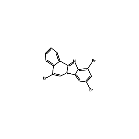 Brc1cc(Br)c2nc3c4ccccc4c(Br)cn3c2c1